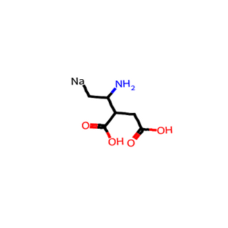 NC([CH2][Na])C(CC(=O)O)C(=O)O